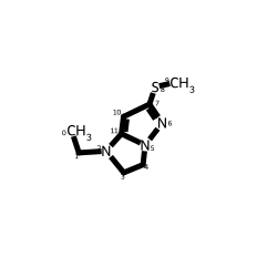 CCN1CCn2nc(SC)cc21